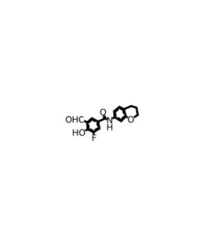 O=Cc1cc(C(=O)Nc2ccc3c(c2)OCCC3)cc(F)c1O